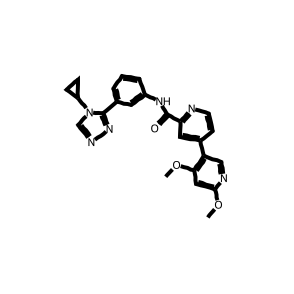 COc1cc(OC)c(-c2ccnc(C(=O)Nc3cccc(-c4nncn4C4CC4)c3)c2)cn1